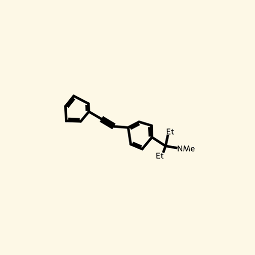 CCC(CC)(NC)c1ccc(C#Cc2ccccc2)cc1